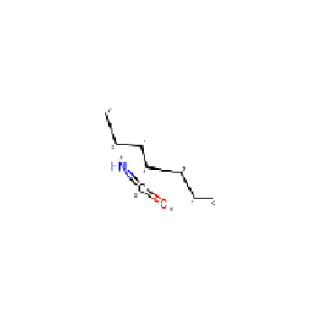 CCCCCCC.N=C=O